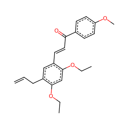 C=CCc1cc(C=CC(=O)c2ccc(OC)cc2)c(OCC)cc1OCC